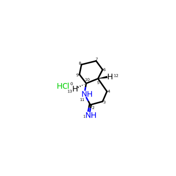 Cl.N=C1CC[C@H]2CCCC[C@@H]2N1